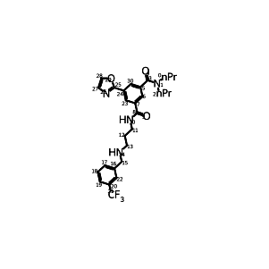 CCCN(CCC)C(=O)c1cc(C(=O)NCCCNCc2cccc(C(F)(F)F)c2)cc(-c2ncco2)c1